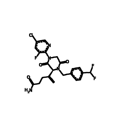 C=C(CCC(N)=O)[C@H]1C(=O)N(c2ncc(Cl)cc2F)CC(=O)N1Cc1ccc(C(F)F)cc1